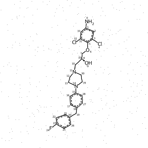 Nc1cc(Cl)c(OC[C@@H](O)CN2CCN(c3ccc(Cc4ccc(F)cc4)cc3)CC2)c(Cl)c1